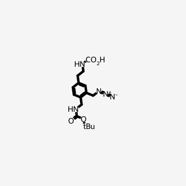 CC(C)(C)OC(=O)NCc1ccc(CCNC(=O)O)cc1CN=[N+]=[N-]